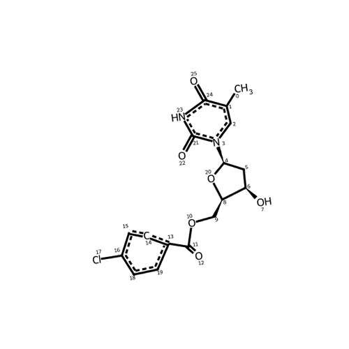 Cc1cn([C@H]2C[C@@H](O)[C@@H](COC(=O)c3ccc(Cl)cc3)O2)c(=O)[nH]c1=O